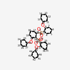 O=S(=O)(c1ccccc1Oc1ccccc1)c1cccc(Oc2ccccc2)c1S(=O)(=O)c1ccccc1Oc1ccccc1